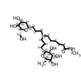 CNC(=O)CCCCCN(CCC[C@@H]1C[C@@H](O)[C@H](O)[C@@H](CO)O1)CCC[C@@H]1O[C@@H](C)[C@@H](O)[C@@H](O)[C@@H]1O